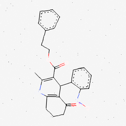 CC1=C(C(=O)OCCc2ccccc2)C(c2ccccc2[N+](=O)[O-])C2=C(CCCC2=O)N1